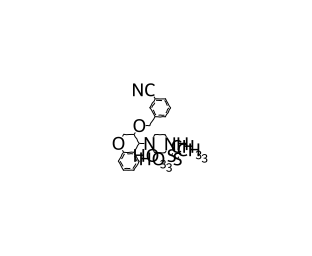 CS(=O)(=O)O.CS(=O)(=O)O.N#Cc1cccc(COC2COc3ccccc3C2N2CCNCC2)c1